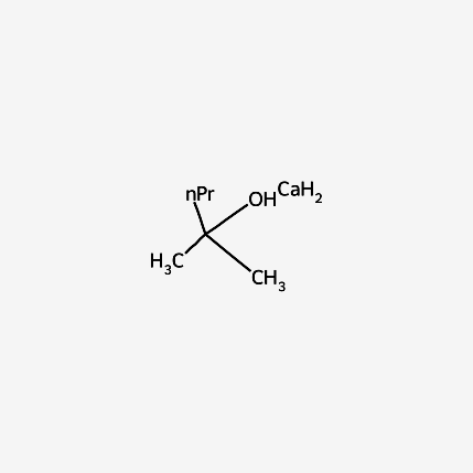 CCCC(C)(C)O.[CaH2]